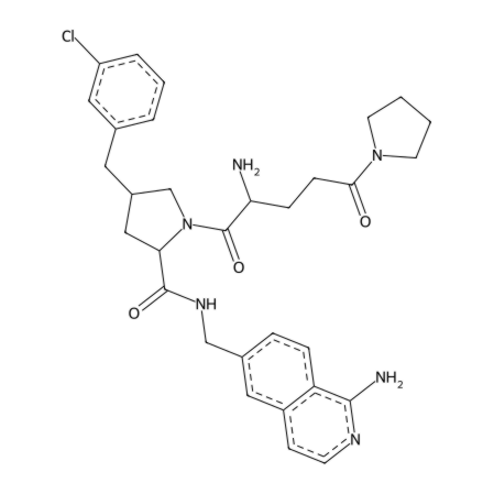 Nc1nccc2cc(CNC(=O)C3CC(Cc4cccc(Cl)c4)CN3C(=O)C(N)CCC(=O)N3CCCC3)ccc12